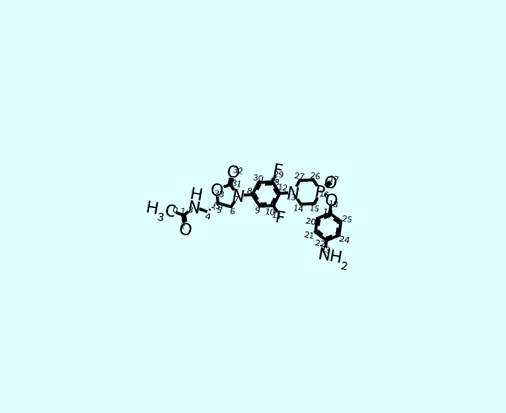 CC(=O)NC[C@H]1CN(c2cc(F)c(N3CCP(=O)(Oc4ccc(N)cc4)CC3)c(F)c2)C(=O)O1